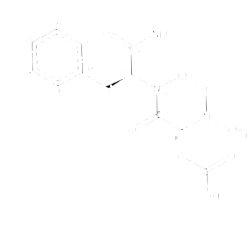 CN(I)[C@H](CC(=O)O)C(=O)N(C)[C@@H](Cc1ccccc1)C(N)=O